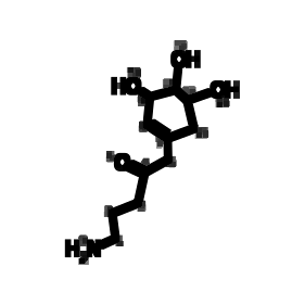 NCCCC(=O)[CH]C1=CC(O)C(O)C(O)C1